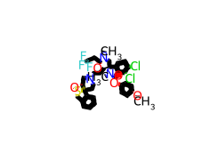 COc1ccc(OC(=O)N(C)[C@](CCCN2CCC3(CC2)c2ccccc2C[S+]3[O-])(CN(C)C(=O)CC(F)(F)F)c2ccc(Cl)c(Cl)c2)cc1